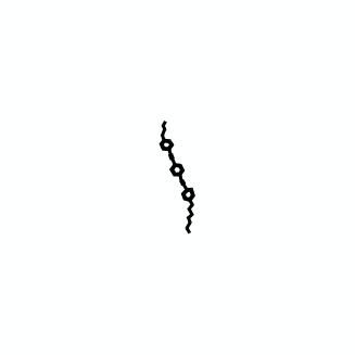 CCCCCCCc1ccc(C#Cc2ccc(C#Cc3ccc(CCCC)cc3)cc2)cc1